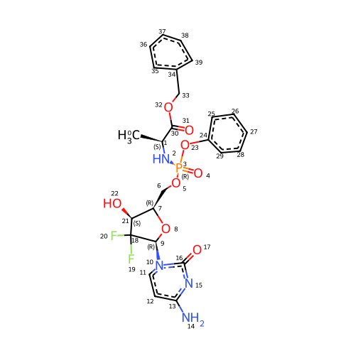 C[C@H](N[P@@](=O)(OC[C@H]1O[C@@H](n2ccc(N)nc2=O)C(F)(F)[C@H]1O)Oc1ccccc1)C(=O)OCc1ccccc1